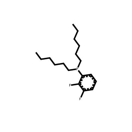 CCCCCCP(CCCCCC)c1cccc(F)c1F